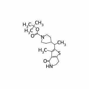 Cc1c(C(C)C2CCN(C(=O)OC(C)(C)C)CC2)sc2c1C(=O)NCC2